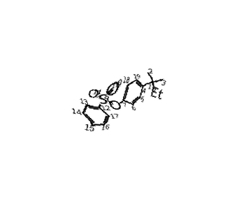 CCC(C)(C)c1ccc(OS(=O)(=O)c2ccccc2)cc1